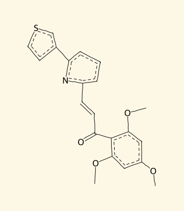 COc1cc(OC)c(C(=O)/C=C/c2cccc(-c3ccsc3)n2)c(OC)c1